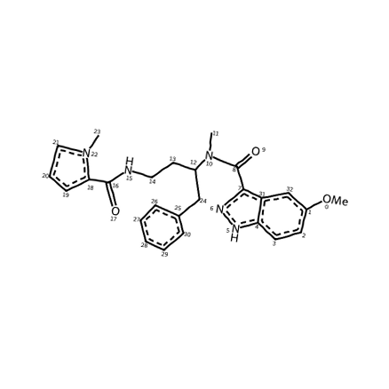 COc1ccc2[nH]nc(C(=O)N(C)C(CCNC(=O)c3cccn3C)Cc3ccccc3)c2c1